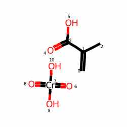 C=C(C)C(=O)O.[O]=[Cr](=[O])([OH])[OH]